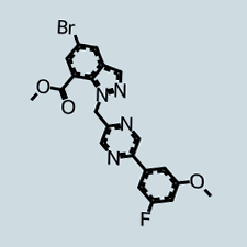 COC(=O)c1cc(Br)cc2cnn(Cc3cnc(-c4cc(F)cc(OC)c4)cn3)c12